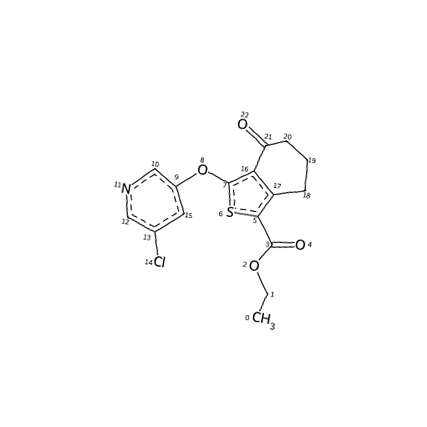 CCOC(=O)c1sc(Oc2cncc(Cl)c2)c2c1CCCC2=O